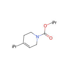 CC(C)OC(=O)N1CC=C(C(C)C)CC1